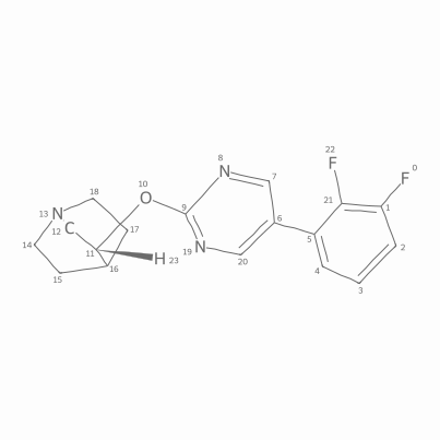 Fc1cccc(-c2cnc(O[C@H]3CN4CCC3CC4)nc2)c1F